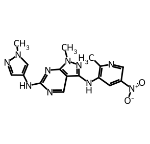 Cc1ncc([N+](=O)[O-])cc1Nc1nn(C)c2nc(Nc3cnn(C)c3)ncc12